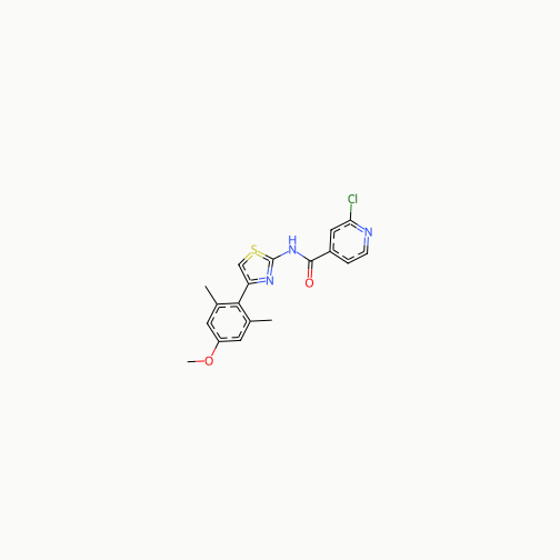 COc1cc(C)c(-c2csc(NC(=O)c3ccnc(Cl)c3)n2)c(C)c1